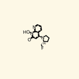 O=c1cc(N2CCC[C@@H]2CF)c2cccnc2n1O